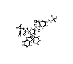 N#CC1(NC(=O)[C@@H]2C[C@@H](S(=O)(=O)c3ccc(OCC(F)(F)F)cc3Cl)CN2C(=O)C2(c3ccccc3)CCCCC2)CC1